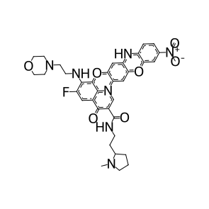 CN1CCCC1CCNC(=O)c1cn2c3cc4oc5cc([N+](=O)[O-])ccc5[nH]c4cc3oc3c(NCCN4CCOCC4)c(F)cc(c1=O)c32